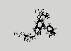 Cc1nnc(Cn2nc3nc(O[C@@H](C)C(F)(F)F)nc(N4CCC(F)(F)C4)c3n2)o1